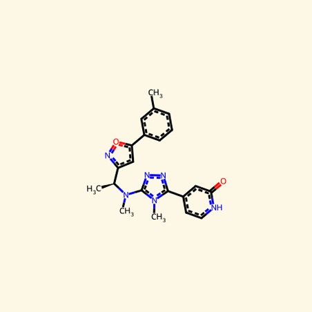 Cc1cccc(-c2cc([C@H](C)N(C)c3nnc(-c4cc[nH]c(=O)c4)n3C)no2)c1